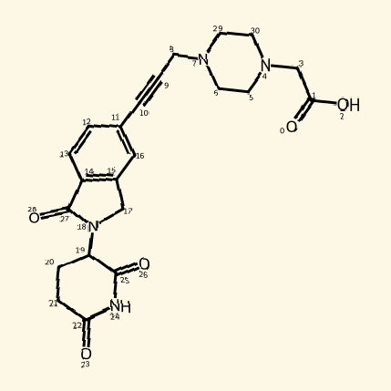 O=C(O)CN1CCN(CC#Cc2ccc3c(c2)CN(C2CCC(=O)NC2=O)C3=O)CC1